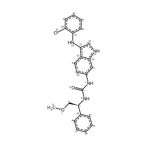 COC[C@@H](NC(=O)Nc1cc2[nH]nc(Nc3ccccc3Cl)c2cn1)c1ccccc1